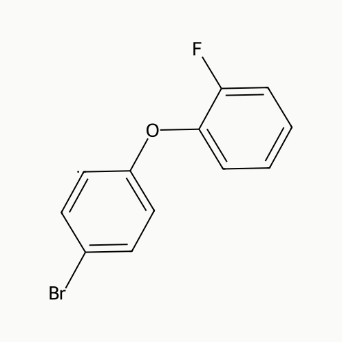 Fc1ccccc1Oc1[c]cc(Br)cc1